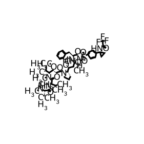 CC[C@H](C)[C@@H]([C@@H](CC(=O)N1CCC[C@H]1[C@H](OC)[C@@H](C)C(=O)N[C@@H](Cc1ccccc1)C(=O)NS(=O)(=O)c1ccc(C2(NC(=O)C(F)(F)F)CC2)cc1)OC)N(C)C(=O)[C@@H](NC(=O)[C@H](C(C)C)N(C)C)C(C)C